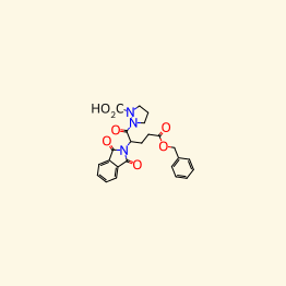 O=C(CCC(C(=O)N1CCCN1C(=O)O)N1C(=O)c2ccccc2C1=O)OCc1ccccc1